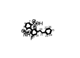 NS(=O)(=O)c1cccc(S(=O)(=O)O)c1-c1cc(F)cc(CCc2ccccc2)c1